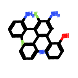 Nc1[c]c(-c2ccccc2O)c(-c2ccccc2N)c(-c2c(N)cccc2F)c1F